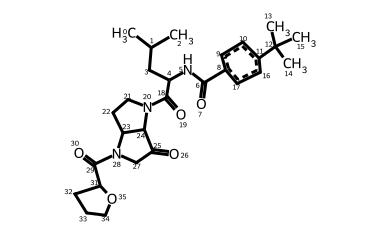 CC(C)CC(NC(=O)c1ccc(C(C)(C)C)cc1)C(=O)N1CCC2C1C(=O)CN2C(=O)C1CCCO1